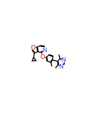 Cc1cc(Oc2nccc3occ(C4CC4)c23)ccc1-c1c(C)ncnc1C